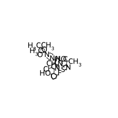 CC(C)c1ncsc1-n1c(=O)nc(N2CCN(C(=O)OC(C)(C)C)CC2C)c2cc(Cl)c(-c3c(O)cccc3F)nc21